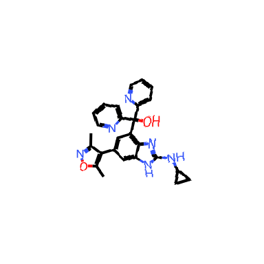 Cc1noc(C)c1-c1cc(C(O)(c2ccccn2)c2ccccn2)c2nc(NC3CC3)[nH]c2c1